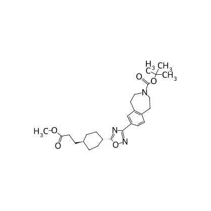 COC(=O)CC[C@H]1CC[C@H](c2nc(-c3ccc4c(c3)CCN(C(=O)OC(C)(C)C)CC4)no2)CC1